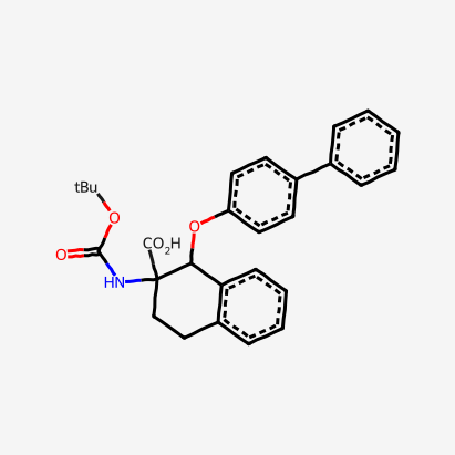 CC(C)(C)OC(=O)NC1(C(=O)O)CCc2ccccc2C1Oc1ccc(-c2ccccc2)cc1